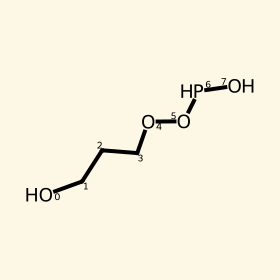 OCCCOOPO